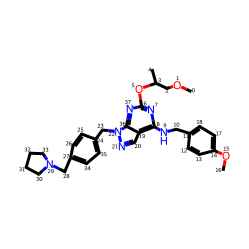 COCC(C)Oc1nc(NCc2ccc(OC)cc2)c2cnn(Cc3ccc(CN4CCCC4)cc3)c2n1